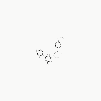 CC(C)Oc1ccc([C@H]2CN(c3nc(-c4ccncc4F)cc(=O)n3C)CCO2)cc1